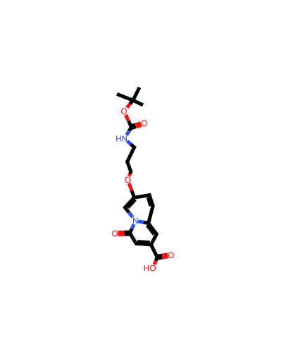 CC(C)(C)OC(=O)NCCCOc1ccc2cc(C(=O)O)cc(=O)n2c1